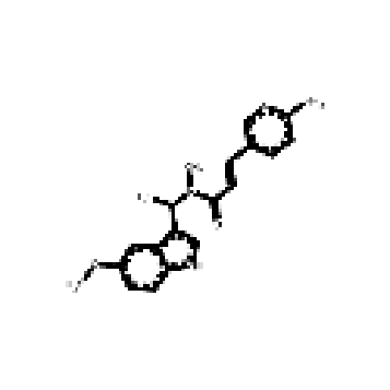 COc1ccc2[nH]cc(C(C)N(C)C(=O)/C=C/c3ccc(N)nc3)c2c1